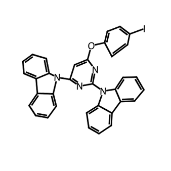 Ic1ccc(Oc2cc(-n3c4ccccc4c4ccccc43)nc(-n3c4ccccc4c4ccccc43)n2)cc1